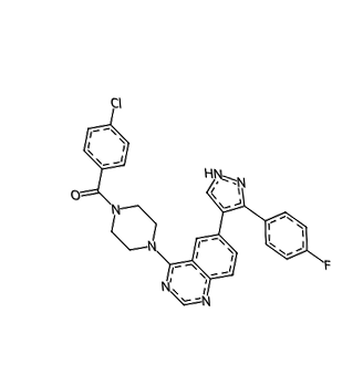 O=C(c1ccc(Cl)cc1)N1CCN(c2ncnc3ccc(-c4c[nH]nc4-c4ccc(F)cc4)cc23)CC1